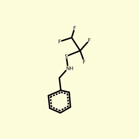 FC(F)C(F)(F)SNCc1ccccc1